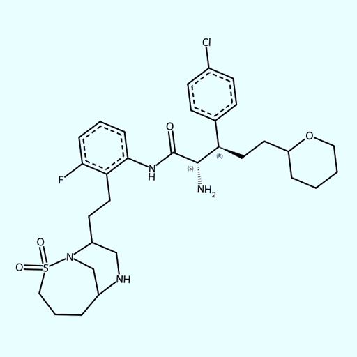 N[C@H](C(=O)Nc1cccc(F)c1CCC1CNC2CCCS(=O)(=O)N1C2)[C@H](CCC1CCCCO1)c1ccc(Cl)cc1